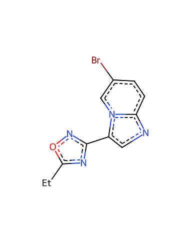 CCc1nc(-c2cnc3ccc(Br)cn23)no1